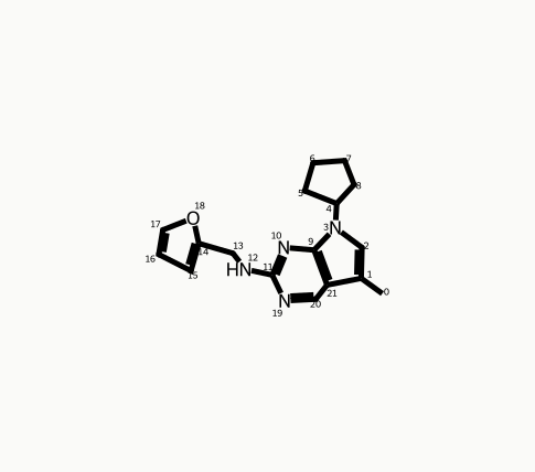 Cc1cn(C2CCCC2)c2nc(NCc3ccco3)ncc12